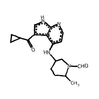 CC1CCC(Nc2ccnc3[nH]cc(C(=O)C4CC4)c23)CN1C=O